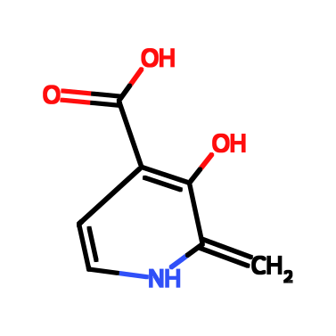 C=C1NC=CC(C(=O)O)=C1O